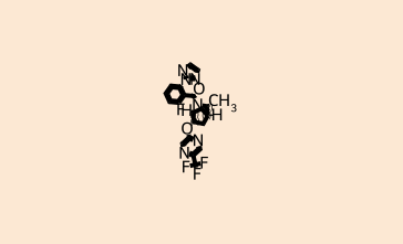 C[C@@H]1[C@H]2C[C@@H](Oc3cnc(C(F)(F)F)cn3)[C@H](C2)N1C(=O)c1c(F)cccc1-n1nccn1